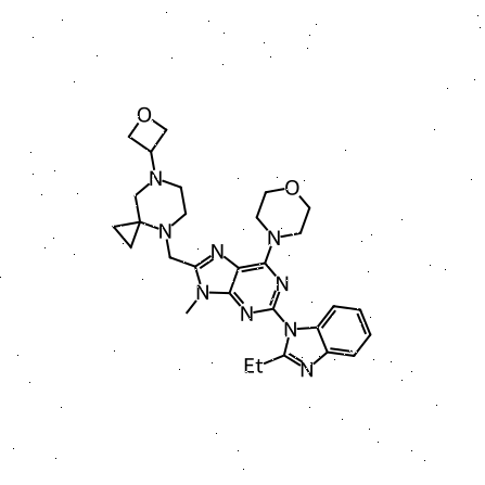 CCc1nc2ccccc2n1-c1nc(N2CCOCC2)c2nc(CN3CCN(C4COC4)CC34CC4)n(C)c2n1